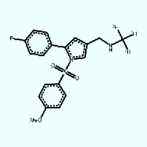 [2H]C([2H])([2H])NCc1cc(-c2ccc(F)cc2)n(S(=O)(=O)c2ccc(OC)cc2)c1